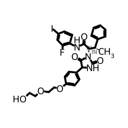 C[C@@H](c1ccccc1)[C@@H](C(=O)Nc1ccc(I)cc1F)N1C(=O)NC(c2ccc(OCCOCCO)cc2)C1=O